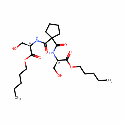 CCCCCOC(=O)[C@@H](CO)NC(=O)C1(C(=O)N[C@H](CO)C(=O)OCCCCC)CCCC1